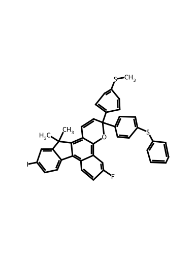 CSc1ccc(C2(c3ccc(Sc4ccccc4)cc3)C=Cc3c4c(c5ccc(F)cc5c3O2)-c2ccc(I)cc2C4(C)C)cc1